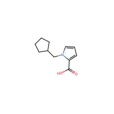 O=C(O)c1cccn1CC1CCCC1